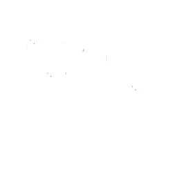 C[C@H]1OC(N)=N[C@@]12Cc1cccc(-c3ccccn3)c1C2